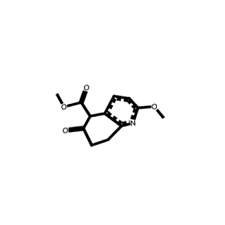 COC(=O)C1C(=O)CCc2nc(OC)ccc21